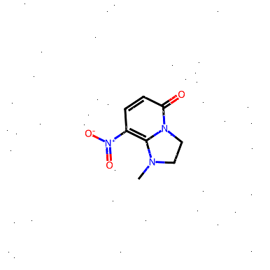 CN1CCn2c1c([N+](=O)[O-])ccc2=O